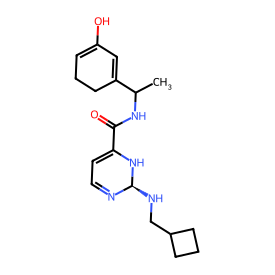 CC(NC(=O)C1=CC=N[C@H](NCC2CCC2)N1)C1=CC(O)=CCC1